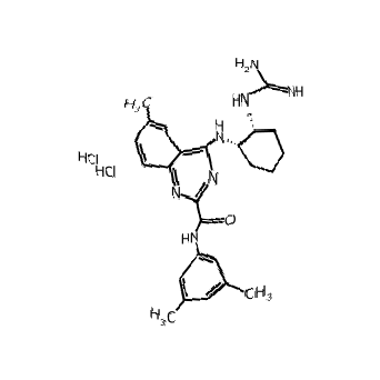 Cc1cc(C)cc(NC(=O)c2nc(N[C@H]3CCCC[C@H]3NC(=N)N)c3cc(C)ccc3n2)c1.Cl.Cl